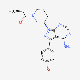 C=CC(=O)N1CCC[C@@H](n2nc(-c3ccc(Br)cc3)c3c(N)ncnc32)C1